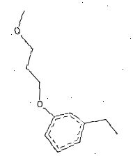 CCc1cccc(OCCCOC)c1